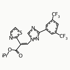 CC(C)OC(=O)/C(=C/n1cnc(-c2cc(C(F)(F)F)cc(C(F)(F)F)c2)n1)c1nccs1